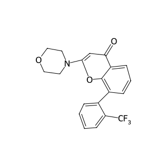 O=c1cc(N2CCOCC2)oc2c(-c3ccccc3C(F)(F)F)cccc12